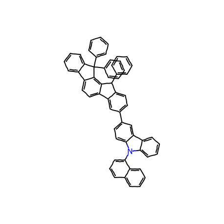 c1ccc(C2c3ccc(-c4ccc5c(c4)c4ccccc4n5-c4cccc5ccccc45)cc3-c3ccc4c(c32)C(c2ccccc2)(c2ccccc2)c2ccccc2-4)cc1